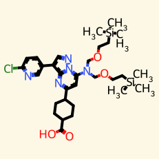 C[Si](C)(C)CCOCN(COCC[Si](C)(C)C)c1cc(C2CCC(C(=O)O)CC2)nc2c(-c3ccc(Cl)nc3)cnn12